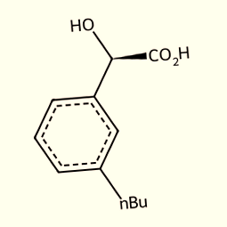 CCCCc1cccc([C@@H](O)C(=O)O)c1